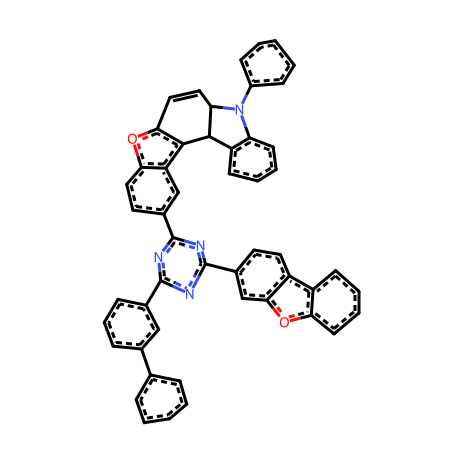 C1=CC2C(c3ccccc3N2c2ccccc2)c2c1oc1ccc(-c3nc(-c4cccc(-c5ccccc5)c4)nc(-c4ccc5c(c4)oc4ccccc45)n3)cc21